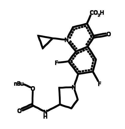 CCCCOC(=O)NC1CCN(c2c(F)cc3c(=O)c(C(=O)O)cn(C4CC4)c3c2F)C1